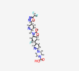 O=C(O)N1CCN(c2ccc(-c3cc4oc(=O)n(Cc5ccc(-c6nnc(C(F)F)o6)cn5)c4cc3F)cn2)CC1